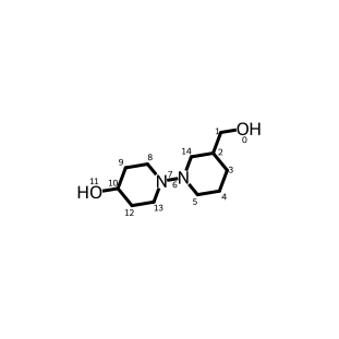 OCC1CCCN(N2CCC(O)CC2)C1